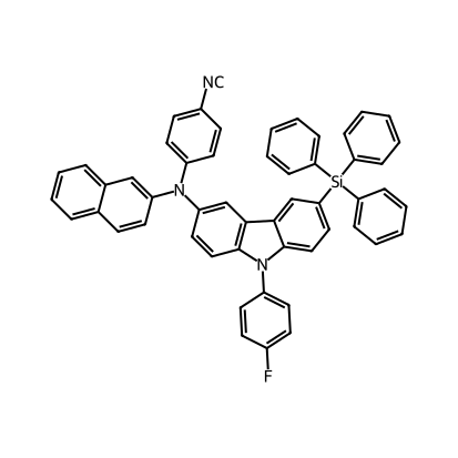 [C-]#[N+]c1ccc(N(c2ccc3ccccc3c2)c2ccc3c(c2)c2cc([Si](c4ccccc4)(c4ccccc4)c4ccccc4)ccc2n3-c2ccc(F)cc2)cc1